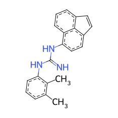 Cc1cccc(NC(=N)Nc2ccc3c4c(cccc24)C=C3)c1C